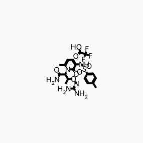 Cc1ccc(S(=O)(=O)Nc2ccc(C)n(C(C(N)=O)C(C)ON=C(N)N)c2=O)cc1.O=C(O)C(F)(F)F